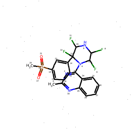 Cc1nc(N2C(F)C(F)NC(F)C2(F)c2cccc(S(C)(=O)=O)c2)c2ccccc2n1